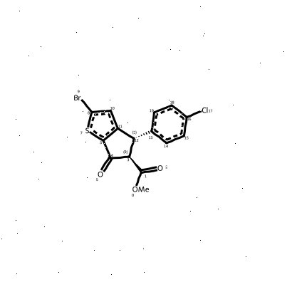 COC(=O)[C@H]1C(=O)c2sc(Br)cc2[C@@H]1c1ccc(Cl)cc1